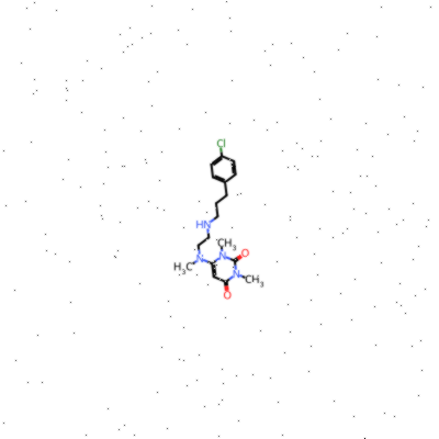 CN(CCNCCCc1ccc(Cl)cc1)c1cc(=O)n(C)c(=O)n1C